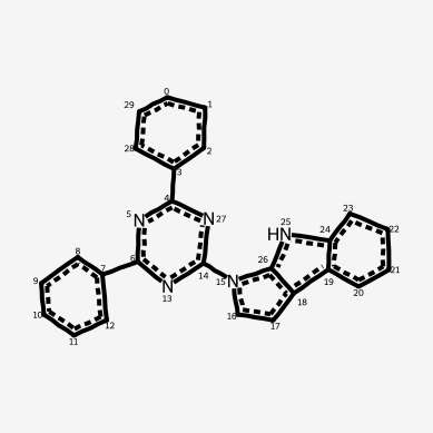 c1ccc(-c2nc(-c3ccccc3)nc(-n3ccc4c5ccccc5[nH]c43)n2)cc1